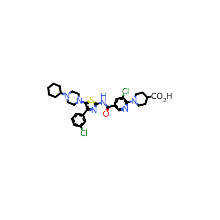 O=C(Nc1nc(-c2cccc(Cl)c2)c(N2CCN(C3CCCCC3)CC2)s1)c1cnc(N2CCC(C(=O)O)CC2)c(Cl)c1